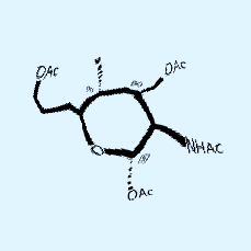 CC(=O)NC1[C@H](OC(C)=O)OC(COC(C)=O)[C@H](C)[C@H]1OC(C)=O